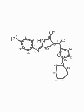 CC(C)c1ccc(/N=C2\NC(=O)C(C(C)c3ccc(N4CCCCCC4)o3)S2)cc1